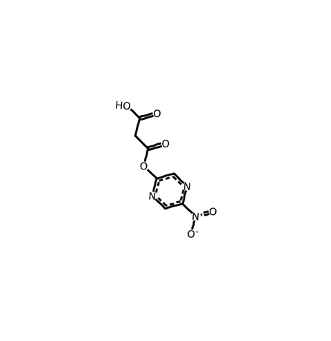 O=C(O)CC(=O)Oc1cnc([N+](=O)[O-])cn1